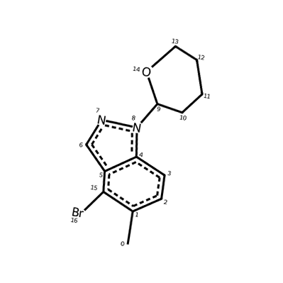 Cc1ccc2c(cnn2C2CCCCO2)c1Br